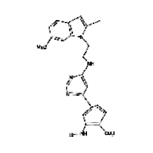 CCNc1cc(-c2cc(NCCn3c(C)cc4ccc(OC)cc43)ncn2)ccc1C(=O)O